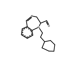 O=CC1CN=Cc2ccccc2N1CCC1CCCCC1